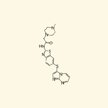 CN1CCN(CC(=O)Nc2nc3ccc(Sc4cnc5ncccn45)cc3s2)CC1